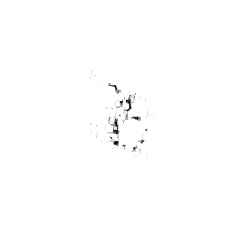 CCCCNC(=O)[C@H](C)C[C@H](O)[C@@H]1C[C@H](C)CCCCC[C@@H](C)CCC(=O)N(C)[C@@H](C)C(=O)N1